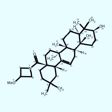 COC1CN(C(=O)[C@]23CCC(C)(C)C[C@H]2C2=CC[C@@H]4[C@@]5(C)CC[C@H](O)C(C)(C)[C@@H]5CC[C@@]4(C)[C@]2(C)CC3)C1